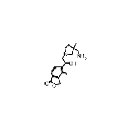 Cc1c(C(O)CN2CCC(C)(CN)C2)ccc2c1COC2=O